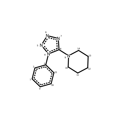 c1ccc(-n2nnnc2N2CCCCC2)cc1